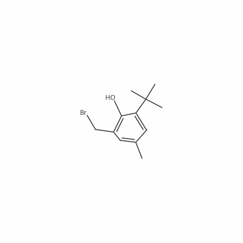 Cc1cc(CBr)c(O)c(C(C)(C)C)c1